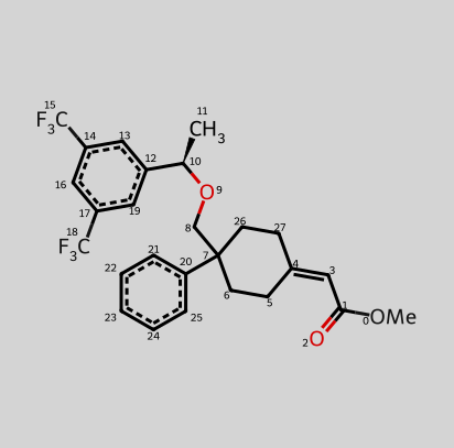 COC(=O)C=C1CCC(CO[C@H](C)c2cc(C(F)(F)F)cc(C(F)(F)F)c2)(c2ccccc2)CC1